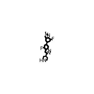 Cn1cc2cc(-c3cc(F)c4cc(C5CCNCC5)nnc4c3)cc(F)c2n1